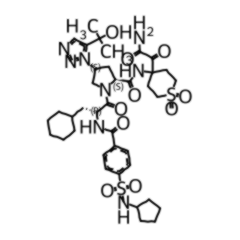 CC(C)(O)c1cnnn1[C@H]1C[C@@H](C(=O)NC2(C(=O)C(N)=O)CCS(=O)(=O)CC2)N(C(=O)[C@@H](CC2CCCCC2)NC(=O)c2ccc(S(=O)(=O)NC3CCCC3)cc2)C1